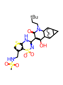 CC(C)(C)CCN1C(=O)C(C2=NS(=O)(=O)c3c(CNS(C)(=O)=O)csc3N2)=C(O)C2C3CCC(C4CC43)C21